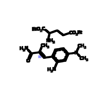 C/C(=C\c1ccc(N(C)C)cc1N)C(N)=O.CCOC(=O)CCC(N)C(=O)OCC